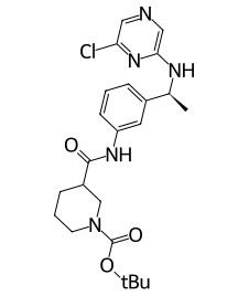 C[C@H](Nc1cncc(Cl)n1)c1cccc(NC(=O)C2CCCN(C(=O)OC(C)(C)C)C2)c1